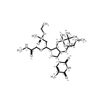 CCOP(C)(=O)C[C@H](OCC(=O)NC)[C@H]1O[C@@H](n2cc(C)c(=O)[nH]c2=O)[C@H](OCCOC)[C@@H]1O[Si](C)(C)C(C)(C)C